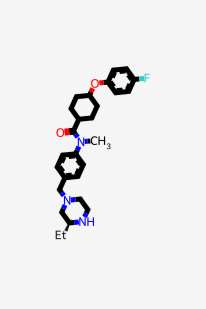 CC[C@H]1CN(Cc2ccc(N(C)C(=O)C3CCC(Oc4ccc(F)cc4)CC3)cc2)CCN1